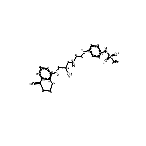 CCCCS(=O)(=O)Nc1ccc(OCCNCC(O)COc2cccc3c2CCCC3=O)cc1